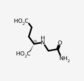 NC(=O)CN[C@@H](CCC(=O)O)C(=O)O